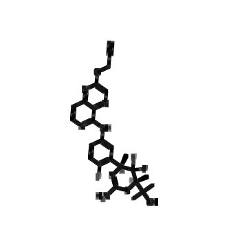 C#CCOc1cnc2c(Nc3ccc(F)c([C@@]4(C)N=C(N)S[C@@](C)(C(C)(C)O)C4(F)F)c3)nccc2n1